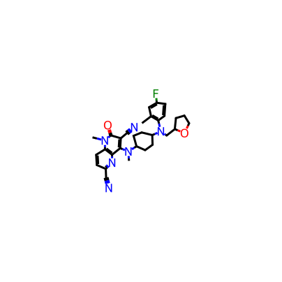 Cc1cc(F)ccc1N(CC1CCCO1)C1CCC(N(C)c2c(C#N)c(=O)n(C)c3ccc(C#N)nc23)CC1